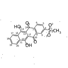 CS(=O)(=O)c1ccc2c(c1)C(=O)c1c(c(O)c3ccccc3c1O)C2=O